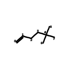 C=CCCC(C)(C)C